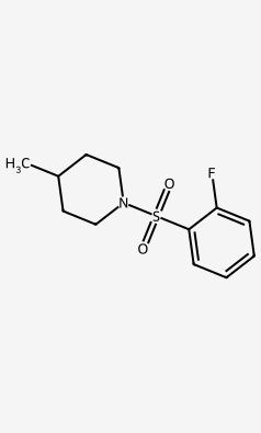 CC1CCN(S(=O)(=O)c2ccccc2F)CC1